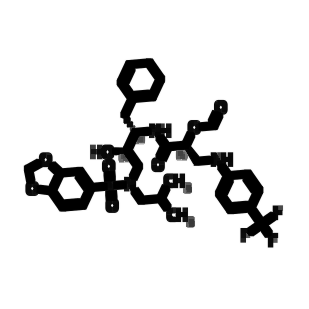 CC(C)CN(C[C@@H](O)[C@H](CC1=CCCC=C1)NC(=O)[C@H](CNc1ccc(C(F)(F)F)cc1)OC=O)S(=O)(=O)C1=CC2OCOC2C=C1